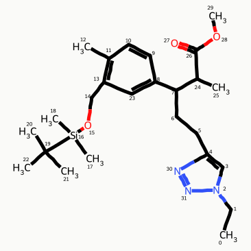 CCn1cc(CCC(c2ccc(C)c(CO[Si](C)(C)C(C)(C)C)c2)C(C)C(=O)OC)nn1